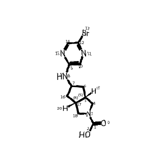 O=C(O)N1C[C@H]2CC(Nc3cnc(Br)cn3)C[C@H]2C1